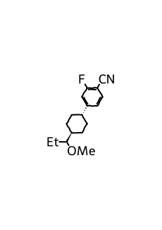 CCC(OC)[C@H]1CC[C@H](c2ccc(C#N)c(F)c2)CC1